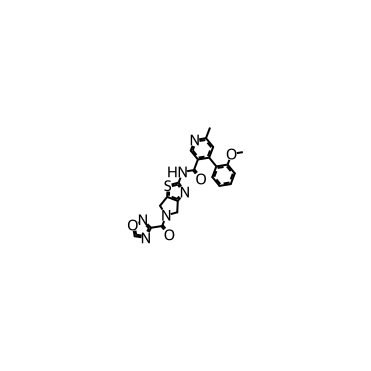 COc1ccccc1-c1cc(C)ncc1C(=O)Nc1nc2c(s1)CN(C(=O)c1ncon1)C2